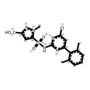 Cc1cccc(C)c1-c1cc(Cl)nc(NS(=O)(=O)c2cc(C(=O)O)nn2C)n1